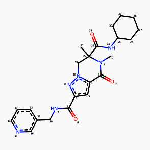 CN1C(=O)c2cc(C(=O)NCc3cccnc3)nn2CC1(C)C(=O)NC1CCCCC1